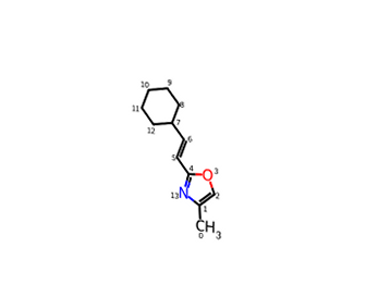 Cc1coc(/C=C/C2CCCCC2)n1